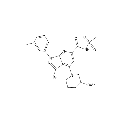 COC1CCCN(c2cc(C(=O)NS(C)(=O)=O)nc3c2c(C(C)C)nn3-c2cccc(C)c2)C1